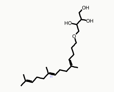 CC(C)=CCC/C(C)=C/CCC(C)=CCCCOCC(O)C(O)CO